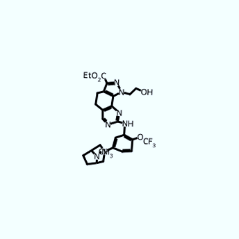 CCOC(=O)c1nn(CCO)c2c1CCc1cnc(Nc3cc(N4CC5CCC(C4)N5C)ccc3OC(F)(F)F)nc1-2